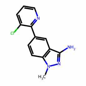 Cn1nc(N)c2cc(-c3ncccc3Cl)ccc21